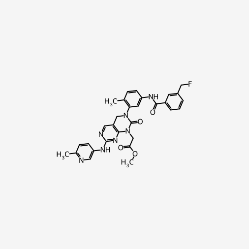 COC(=O)CN1C(=O)N(c2cc(NC(=O)c3cccc(CF)c3)ccc2C)Cc2cnc(Nc3ccc(C)nc3)nc21